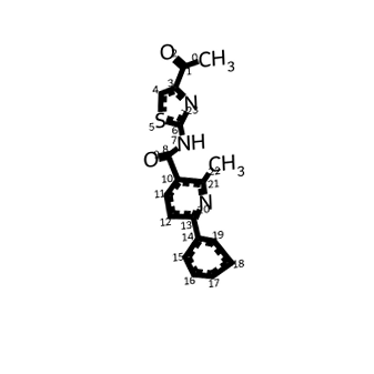 CC(=O)c1csc(NC(=O)c2ccc(-c3ccccc3)nc2C)n1